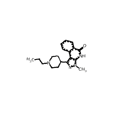 CCCN1CCC(c2nn(C)c3[nH]c(=O)c4ccccc4c23)CC1